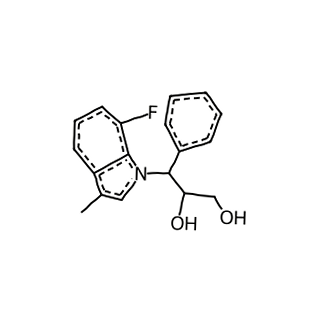 Cc1cn(C(c2ccccc2)C(O)CO)c2c(F)cccc12